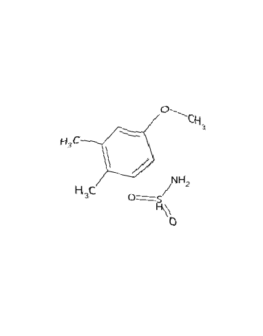 COc1ccc(C)c(C)c1.N[SH](=O)=O